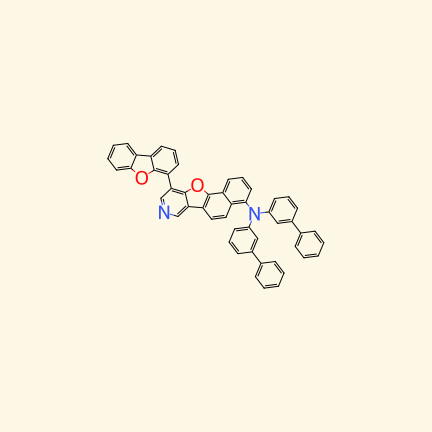 c1ccc(-c2cccc(N(c3cccc(-c4ccccc4)c3)c3cccc4c3ccc3c5cncc(-c6cccc7c6oc6ccccc67)c5oc43)c2)cc1